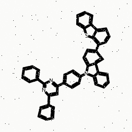 c1ccc(-c2cc(-c3ccc(-n4c5ccccc5c5cc(-c6cccc7c6sc6ccccc67)ccc54)cc3)nc(-c3ccccc3)n2)cc1